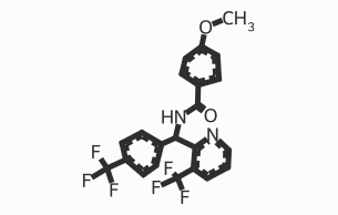 COc1ccc(C(=O)NC(c2ccc(C(F)(F)F)cc2)c2ncccc2C(F)(F)F)cc1